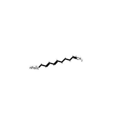 C=CCCCC=CC=CCCCCCC